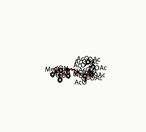 CO[C@@H]1O[C@H](Cn2cc(CCCn3cc(CO[C@@H]4OC(COC(C)=O)[C@@H](O[C@H]5OC(COC(C)=O)[C@@H](O[C@H]6OC(C)[C@@H](N(C(C)=O)[C@H]7C=C(COC(C)=O)[C@@H](OC(C)=O)[C@H](OC(C)=O)[C@H]7OC(C)=O)CC6OC(C)=O)C(OC(C)=O)C5OC(C)=O)C(OC(C)=O)C4OC(C)=O)nn3)nn2)[C@H](OC(=O)c2ccccc2)[C@H](OC(=O)c2ccccc2)[C@@H]1OC(=O)c1ccccc1